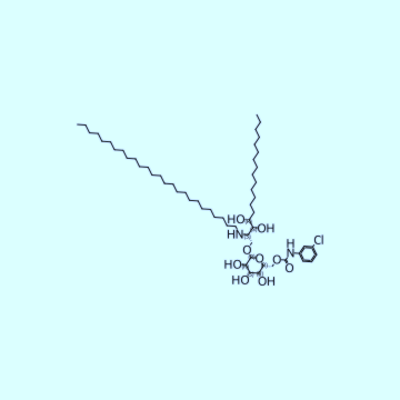 CCCCCCCCCCCCCCCCCCCCCCCCCCN[C@@H](CO[C@@H]1O[C@H](COC(=O)Nc2cccc(Cl)c2)[C@H](O)[C@H](O)[C@H]1O)[C@H](O)[C@H](O)CCCCCCCCCCCCCC